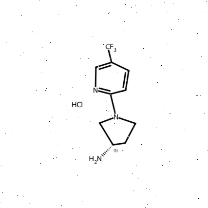 Cl.N[C@H]1CCN(c2ccc(C(F)(F)F)cn2)C1